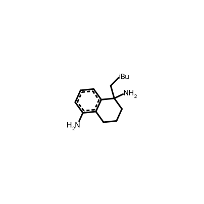 CCC(C)CC1(N)CCCc2c(N)cccc21